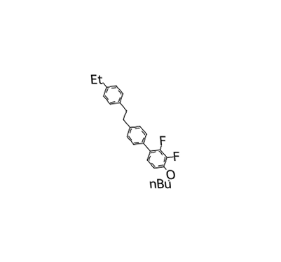 CCCCOc1ccc(-c2ccc(CCc3ccc(CC)cc3)cc2)c(F)c1F